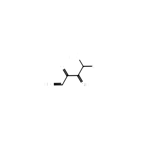 C=CC(=O)C(=N)C(CC)C(=O)O